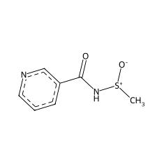 C[S+]([O-])NC(=O)c1cccnc1